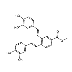 COC(=O)c1ccc(C=Cc2ccc(O)c(O)c2)c(C=Cc2ccc(O)c(O)c2)c1